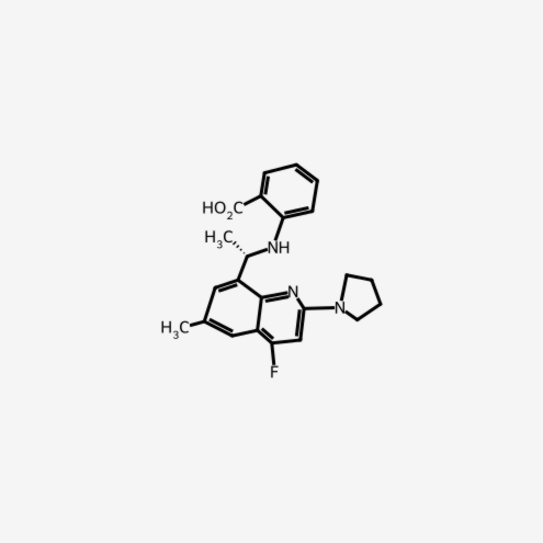 Cc1cc([C@H](C)Nc2ccccc2C(=O)O)c2nc(N3CCCC3)cc(F)c2c1